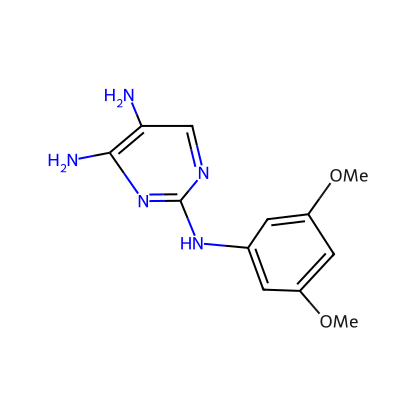 COc1cc(Nc2ncc(N)c(N)n2)cc(OC)c1